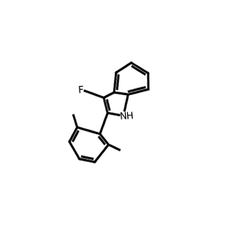 Cc1cccc(C)c1-c1[nH]c2ccccc2c1F